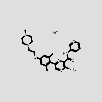 Cc1cc(OCCN2CCN(C)CC2)cc(C)c1-c1cnc(N)c(C(=O)Nc2cccnc2)n1.Cl